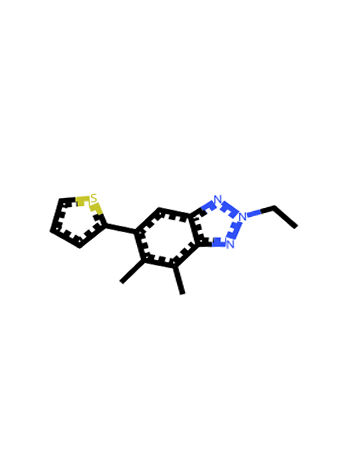 CCn1nc2cc(-c3cccs3)c(C)c(C)c2n1